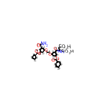 NC(=O)c1cc(OCCOc2cc(OC(=O)c3ccccc3)cc(C(=O)N[C@H](CC(=O)O)C(=O)O)c2)cc(OC(=O)c2ccccc2)c1